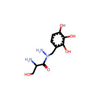 NC(CO)C(=O)N(N)Cc1ccc(O)c(O)c1O